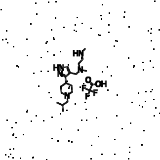 CNCCN(C)Cc1c[nH]nc1C1CCN(CC(C)C)CC1.O=C(O)C(F)(F)F